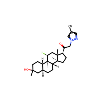 CC1(O)CC[C@H]2[C@H](CC[C@@H]3[C@]2(C)[C@@H](F)C[C@]2(C)[C@@H](C(=O)Cn4cc(C#N)cn4)CC[C@@]32C)C1